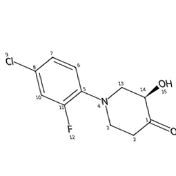 O=C1CCN(c2ccc(Cl)cc2F)C[C@H]1O